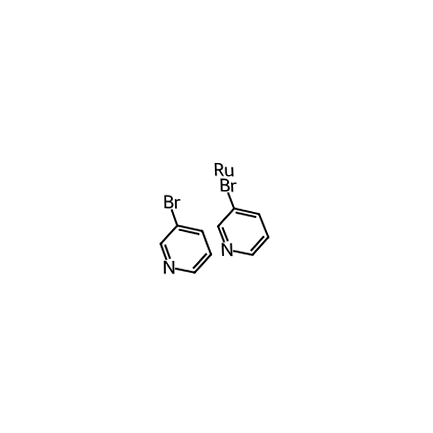 Brc1cccnc1.Brc1cccnc1.[Ru]